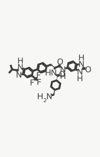 CC(C)c1nc2cc(C(F)(F)F)c(-c3ccc(C[C@H](NC(=O)[C@H]4CC[C@H](CN)CC4)C(=O)Nc4ccc5[nH]c(=O)[nH]c5c4)cc3)cc2[nH]1